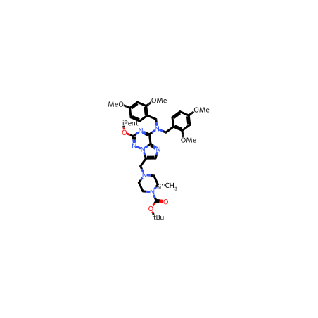 CCCC(C)Oc1nc(N(Cc2ccc(OC)cc2OC)Cc2ccc(OC)cc2OC)c2ncc(CN3CCN(C(=O)OC(C)(C)C)[C@@H](C)C3)n2n1